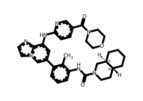 Cc1c(NC(=O)N2CC[C@H]3CCCC[C@@H]3C2)cccc1-c1cc(Nc2ccc(C(=O)N3CCOCC3)cn2)c2nccn2c1